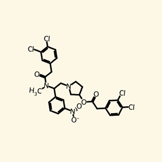 CN(C(=O)Cc1ccc(Cl)c(Cl)c1)C(CN1CCC(OC(=O)Cc2ccc(Cl)c(Cl)c2)C1)c1cccc([N+](=O)[O-])c1